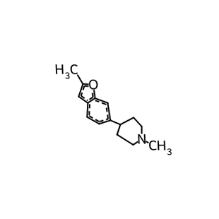 Cc1cc2ccc(C3CCN(C)CC3)cc2o1